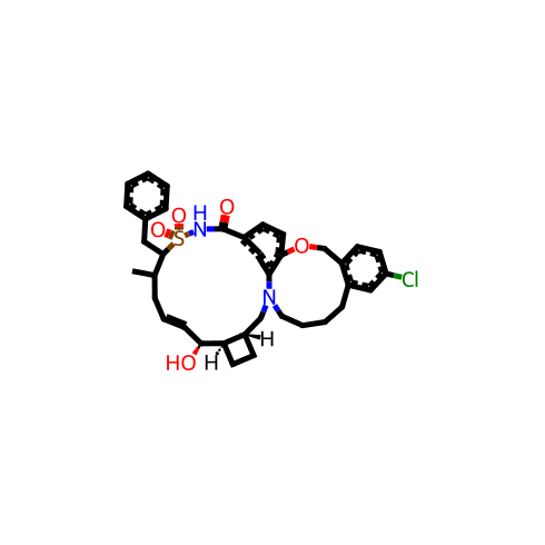 CC1C/C=C/[C@H](O)[C@@H]2CC[C@H]2CN2CCCCc3cc(Cl)ccc3COc3ccc(cc32)C(=O)NS(=O)(=O)C1Cc1ccccc1